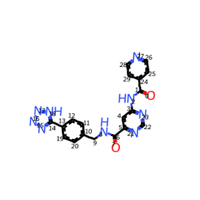 O=C(Nc1cc(C(=O)NCc2ccc(-c3nnn[nH]3)cc2)ncn1)c1ccncc1